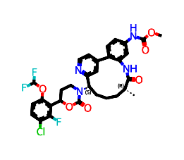 COC(=O)Nc1ccc2c(c1)NC(=O)[C@H](C)CCC[C@H](N1CCC(c3c(OC(F)F)ccc(Cl)c3F)OC1=O)c1cc-2ccn1